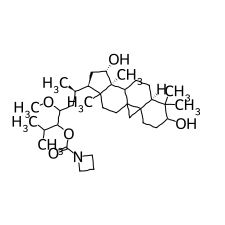 COC(C[C@@H](C)[C@H]1C[C@H](O)[C@@]2(C)C3CC[C@H]4C(C)(C)C(O)CCC45CC35CCC12C)C(OC(=O)N1CCC1)C(C)C